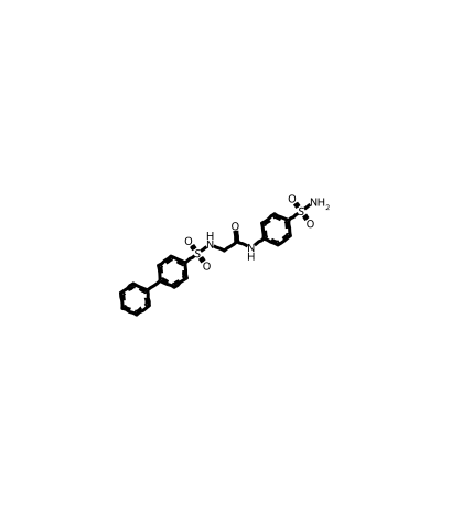 NS(=O)(=O)c1ccc(NC(=O)CNS(=O)(=O)c2ccc(-c3ccccc3)cc2)cc1